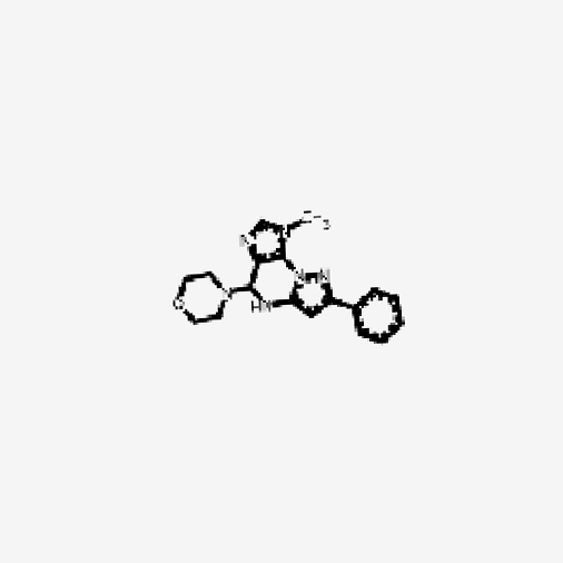 Cn1cnc2c1-n1nc(-c3ccccc3)cc1NC2N1CCOCC1